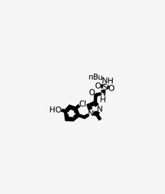 CCCCNS(=O)(=O)NC(=O)c1cn(Cc2ccc(O)cc2Cl)c(C)n1